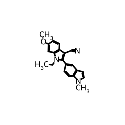 CCn1c(-c2ccc3c(ccn3C)c2)c(C#N)c2ccc(OC)cc21